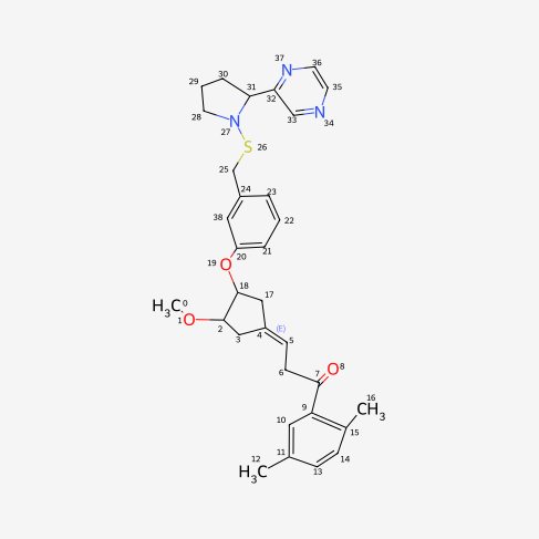 COC1C/C(=C\CC(=O)c2cc(C)ccc2C)CC1Oc1cccc(CSN2CCCC2c2cnccn2)c1